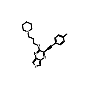 Cc1ccc(C#Cc2nc3cscc3nc2OCCCN2CCCCC2)cc1